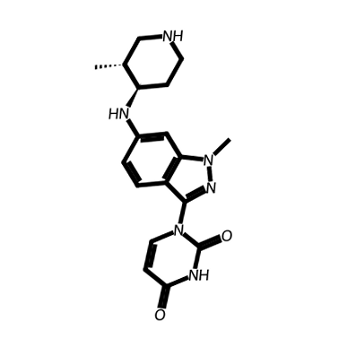 C[C@@H]1CNCC[C@H]1Nc1ccc2c(-n3ccc(=O)[nH]c3=O)nn(C)c2c1